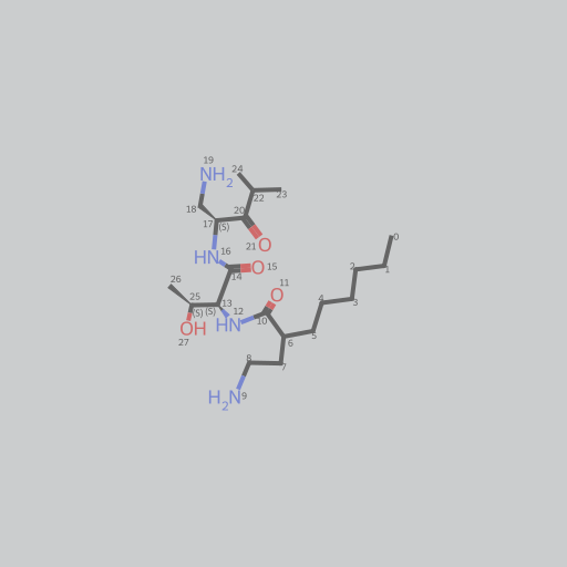 CCCCCCC(CCN)C(=O)N[C@H](C(=O)N[C@@H](CN)C(=O)C(C)C)[C@H](C)O